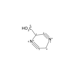 O=C(O)C1C#[N+]CC#[N+]1